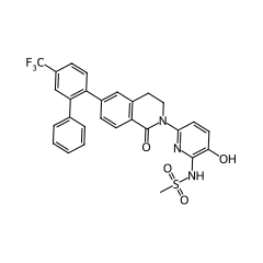 CS(=O)(=O)Nc1nc(N2CCc3cc(-c4ccc(C(F)(F)F)cc4-c4ccccc4)ccc3C2=O)ccc1O